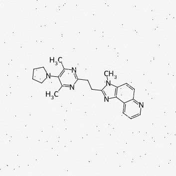 Cc1nc(CCc2nc3c4cccnc4ccc3n2C)nc(C)c1N1CCCC1